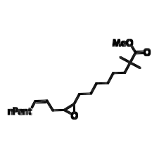 CCCCC/C=C\CC1OC1CCCCCCC(C)(C)C(=O)OC